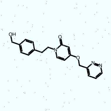 O=c1cc(OCc2cccnn2)ccn1CCc1ccc(CO)cc1